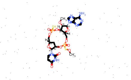 COSP1(=O)OC[C@H]2O[C@@H](n3cnc4c(N)ncnc43)[C@H](OC)[C@@H]2OP(=O)(S)OC[C@@H]2C[C@@H](O1)[C@H](n1ccc(=O)[nH]c1=O)O2